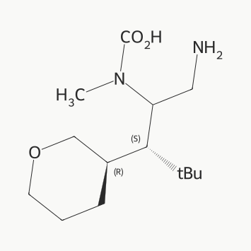 CN(C(=O)O)C(CN)[C@@H]([C@H]1CCCOC1)C(C)(C)C